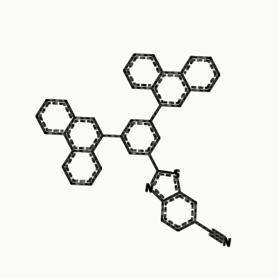 N#Cc1ccc2nc(-c3cc(-c4cc5ccccc5c5ccccc45)cc(-c4cc5ccccc5c5ccccc45)c3)sc2c1